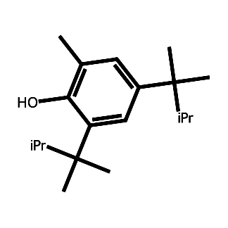 Cc1cc(C(C)(C)C(C)C)cc(C(C)(C)C(C)C)c1O